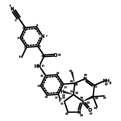 Cc1cc(C#N)cnc1C(=O)Nc1ccc(F)c([C@@]2(C)N=C(N)C(C)(C)[S@@]3(=O)=NCC[C@@H]23)c1